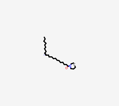 CCCCCCCC/C=C\CCCCCCCCCCCC(=O)N1CCCCCC1